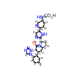 Cc1ccc(-n2cnnn2)c(-c2cc3n(c(=O)c2)[C@H](c2ncc(-c4ccc(NC(=O)O)cn4)[nH]2)CC3)c1